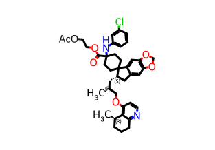 CC(=O)OCCOC(=O)C1(Nc2cccc(Cl)c2)CCC2(CC1)c1cc3c(cc1C[C@@H]2C[C@@H](C)COc1ccnc2c1[C@H](C)CCC2)OCO3